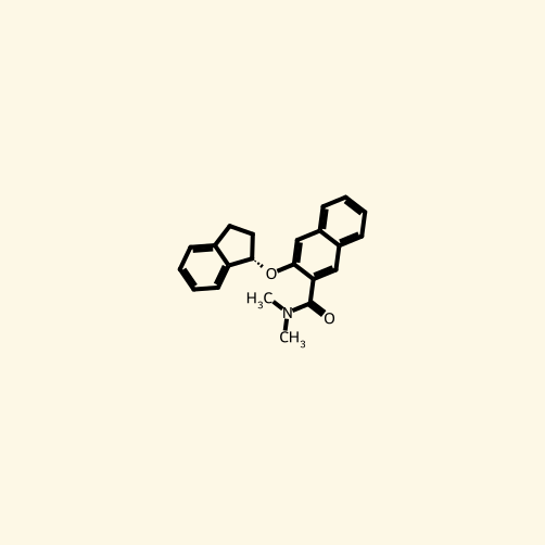 CN(C)C(=O)c1cc2ccccc2cc1O[C@H]1CCc2ccccc21